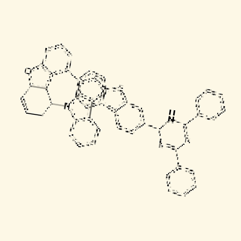 C1=Cc2oc3cccc(-c4ccc5c(c4)sc4cc(C6N=C(c7ccccc7)N=C(c7ccccc7)N6)ccc45)c3c2C(n2c3ccccc3c3ccccc32)C1